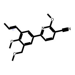 C/C=C/c1cc(-c2ccc(C#N)c(OC)n2)cc(COC)c1OC